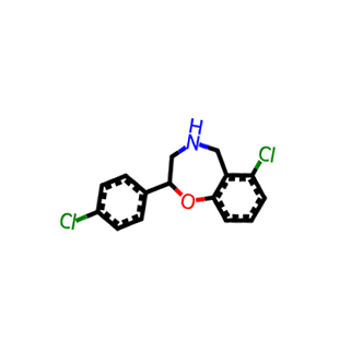 Clc1ccc(C2CNCc3c(Cl)cccc3O2)cc1